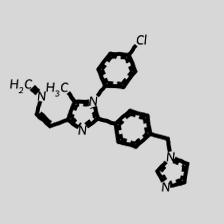 C=N/C=C\c1nc(-c2ccc(Cn3ccnc3)cc2)n(-c2ccc(Cl)cc2)c1C